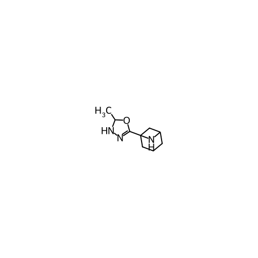 CC1NN=C(C23CCCC(C2)N3)O1